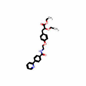 CCOC(=O)C(Cc1ccc(OCCNC(=O)c2ccc(-c3ccccn3)cc2)cc1)OCC